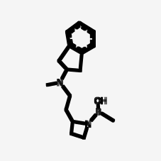 CB(O)N1CCC1CCN(C)C1Cc2ccccc2C1